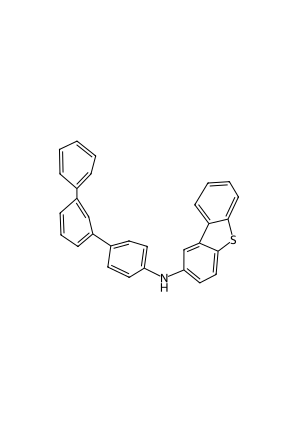 c1ccc(-c2cccc(-c3ccc(Nc4ccc5sc6ccccc6c5c4)cc3)c2)cc1